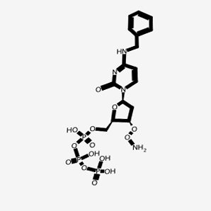 NOO[C@H]1C[C@H](n2ccc(NCc3ccccc3)nc2=O)O[C@@H]1COP(=O)(O)OP(=O)(O)OP(=O)(O)O